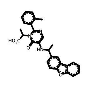 CC(Nc1cnc(-c2ccccc2F)n(C(C)C(=O)O)c1=O)c1ccc2oc3ccccc3c2c1